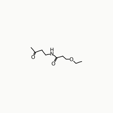 CCOCCC(=O)NCCC(C)=O